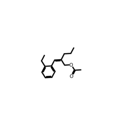 CCCC(=Cc1ccccc1CC)COC(C)=O